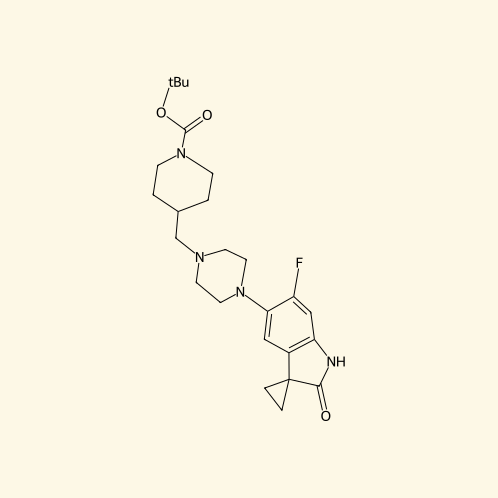 CC(C)(C)OC(=O)N1CCC(CN2CCN(c3cc4c(cc3F)NC(=O)C43CC3)CC2)CC1